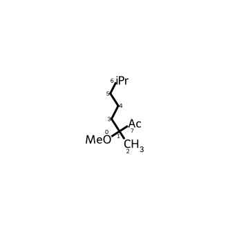 COC(C)(CCCC(C)C)C(C)=O